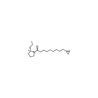 CCC[C@@H]1CCCN1C(=O)CCCCCCCCC1=CC1